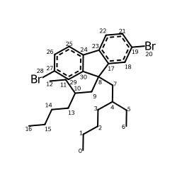 CCCCC(CC)CC1(CC(CC)CCCC)c2cc(Br)ccc2-c2ccc(Br)cc21